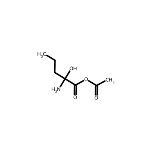 CCCC(N)(O)C(=O)OC(C)=O